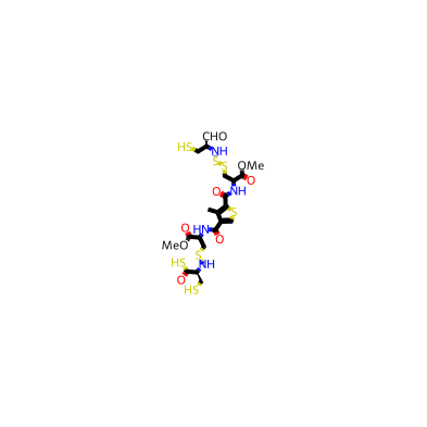 COC(=O)C(CSN[C@@H](CS)C(=O)S)NC(=O)c1csc(C(=O)NC(CSSN[C@H](C=O)CS)C(=O)OC)c1C